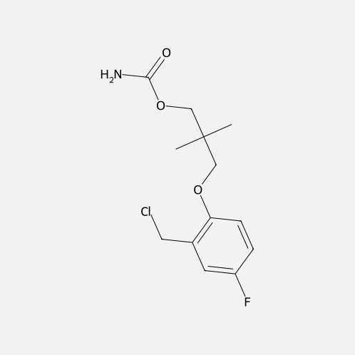 CC(C)(COC(N)=O)COc1ccc(F)cc1CCl